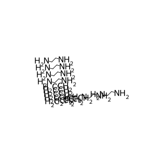 C=C.C=C.C=C.C=C.C=C.C=C.C=C.NCCN.NCCN.NCCN.NCCN.NCCN.NCCN